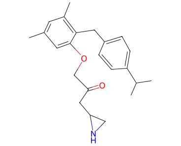 Cc1cc(C)c(Cc2ccc(C(C)C)cc2)c(OCC(=O)CC2CN2)c1